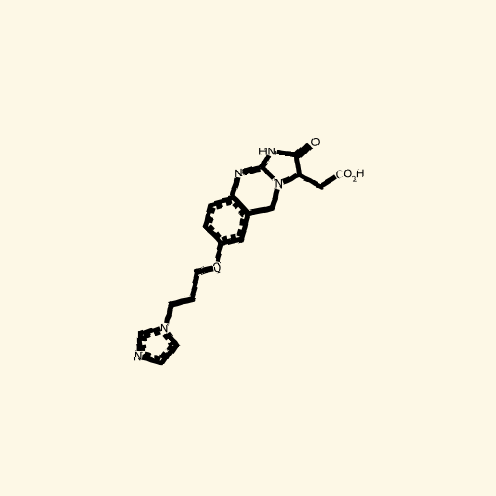 O=C(O)CC1C(=O)NC2=Nc3ccc(OCCCn4ccnc4)cc3CN21